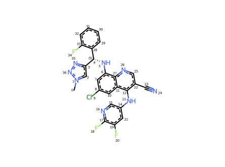 Cn1cc([C@@H](Nc2cc(Cl)cc3c(Nc4cnc(F)c(F)c4)c(C#N)cnc23)c2ccccc2F)nn1